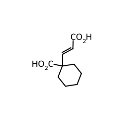 O=C(O)C=CC1(C(=O)O)CCCCC1